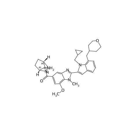 COc1cc(C(=O)N2C[C@H]3CC[C@@H]2[C@@H]3N)cc2nc(-c3cc4cccc(CC5CCOCC5)c4n3CC3CC3)n(C)c12